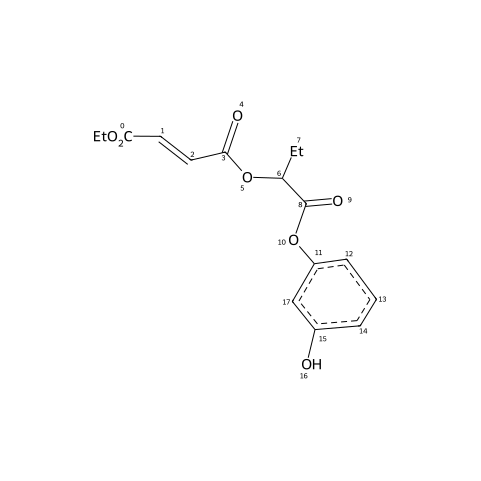 CCOC(=O)C=CC(=O)OC(CC)C(=O)Oc1cccc(O)c1